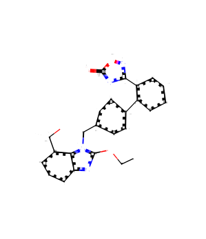 CCOc1nc2cccc([C@H](C)O)c2n1Cc1ccc(-c2ccccc2-c2nc(=O)o[nH]2)cc1